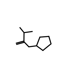 C=C(CC1CCCC1)C(C)C